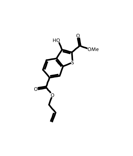 C=CCOC(=O)c1ccc2c(O)c(C(=O)OC)sc2c1